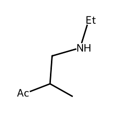 CCNCC(C)C(C)=O